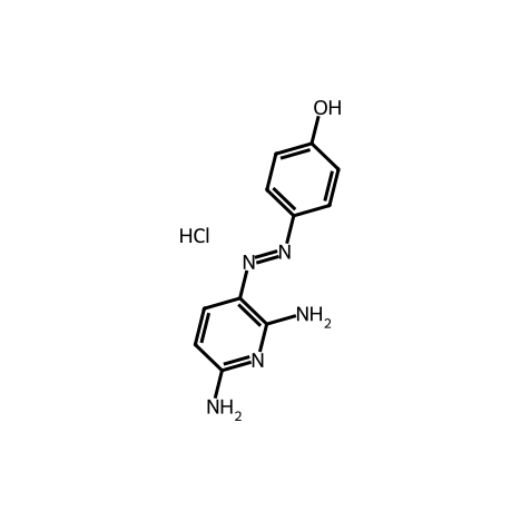 Cl.Nc1ccc(N=Nc2ccc(O)cc2)c(N)n1